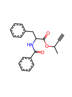 C#CC(C)OC(=O)C(Cc1ccccc1)NC(=O)c1ccccc1